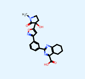 CN1CCC(O)(c2cc(-c3cccc(-c4nc5c(c(C(=O)O)n4)CCCC5)c3)no2)C1=O